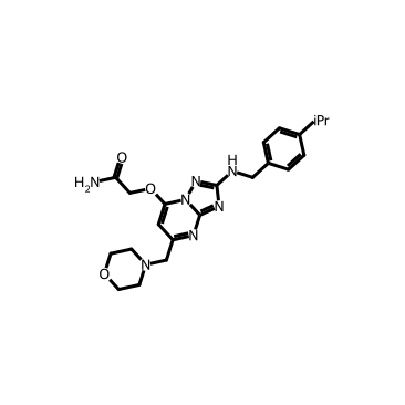 CC(C)c1ccc(CNc2nc3nc(CN4CCOCC4)cc(OCC(N)=O)n3n2)cc1